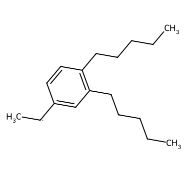 C[CH]c1ccc(CCCCC)c(CCCCC)c1